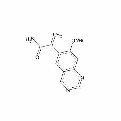 C=C(C(N)=O)c1cc2cncnc2cc1OC